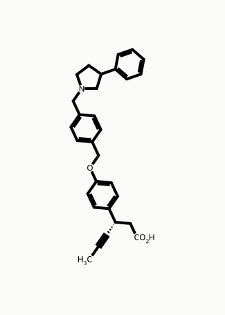 CC#C[C@@H](CC(=O)O)c1ccc(OCc2ccc(CN3CCC(c4ccccc4)C3)cc2)cc1